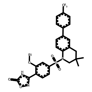 CCOc1cc(S(=O)(=O)N2CC(C)(C)Cc3cc(-c4ccc(C(F)(F)F)cc4)ccc32)ccc1-c1noc(=O)[nH]1